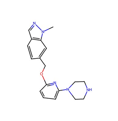 Cn1ncc2ccc(COc3cccc(N4CCNCC4)n3)cc21